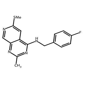 CSc1cc2c(NCc3ccc(F)cc3)nc(C)nc2cn1